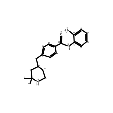 CC1(C)CC(Cc2ccc(C(=O)Nc3ccccc3N)cc2)CCN1